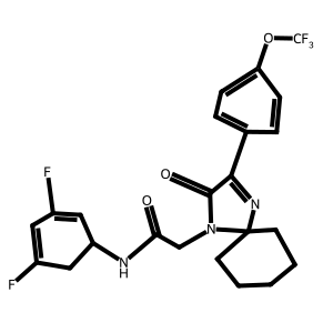 O=C(CN1C(=O)C(c2ccc(OC(F)(F)F)cc2)=NC12CCCCC2)NC1C=C(F)C=C(F)C1